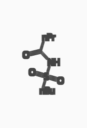 CCCCS(=O)(=O)NC(=O)CCC